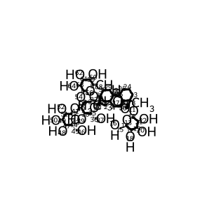 C=C1C[C@]23CC[C@H]4C(C)(C(=O)O[C@@H]5O[C@H](CO)[C@@H](O)[C@H](O)[C@H]5O)CCC[C@]4(C)[C@H]2CC[C@]1(O[C@@H]1O[C@H](CO)[C@@H](O)[C@H](O[C@@H]2O[C@H](CO)[C@@H](O)[C@H](O)[C@H]2O)[C@H]1O[C@@H]1O[C@H](C)[C@@H](O)[C@H](O)[C@H]1O)C3